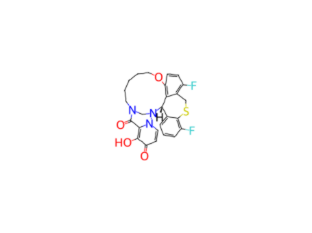 O=C1c2c(O)c(=O)ccn2N2CN1CCCCCOc1ccc(F)c3c1[C@@H]2c1cccc(F)c1SC3